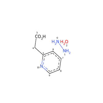 NN.O.O=C(O)Cc1ccccn1